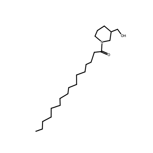 CCCCCCCCCCCCCCCC(=O)N1CCCC(CO)C1